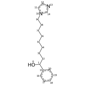 OC(CCCCCCCCn1ccnc1)c1ccccc1